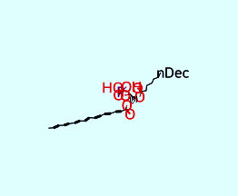 CC#CC#CC#CC#CC#CC#CC#CC(=O)OC[C@H](COP(=O)(O)O)OC(=O)CCCCCCCCCCCCCCC